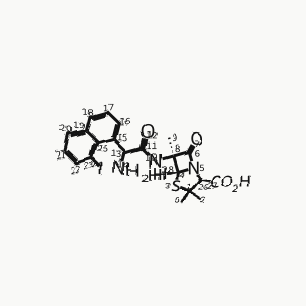 CC1(C)S[C@H]2N(C(=O)[C@]2(C)NC(=O)C(N)c2cccc3cccc(I)c23)[C@H]1C(=O)O